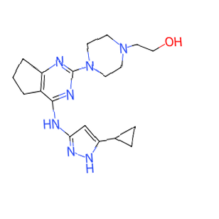 OCCN1CCN(c2nc3c(c(Nc4cc(C5CC5)[nH]n4)n2)CCC3)CC1